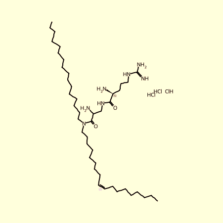 CCCCCCCC/C=C\CCCCCCCCN(CCCCCCCCCCCCCCCC)C(=O)C(N)CNC(=O)[C@@H](N)CCCNC(=N)N.Cl.Cl.Cl